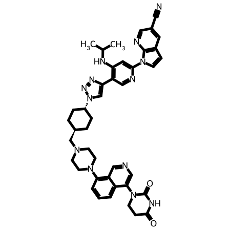 CC(C)Nc1cc(-n2ccc3cc(C#N)cnc32)ncc1-c1cn([C@H]2CC[C@H](CN3CCN(c4cccc5c(N6CCC(=O)NC6=O)cncc45)CC3)CC2)nn1